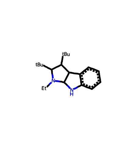 CCN1C2Nc3ccccc3C2C(C(C)(C)C)C1C(C)(C)C